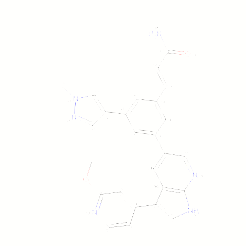 COc1cc(-c2c[nH]c3ncc(-c4cc(/C=C/C(N)=O)cc(-c5cnn(C)c5)c4)cc23)ccn1